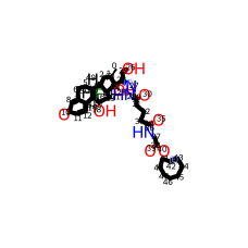 C[C@@H]1C[C@H]2[C@@H]3CCC4=CC(=O)C=C[C@]4(C)[C@@]3(F)[C@@H](O)C[C@]2(C)[C@@]1(O)/C(CO)=N\NC(=O)CCCC(=O)NCC(=O)OC1/C=C/CCCCC1